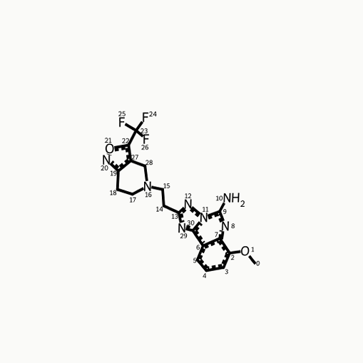 COc1cccc2c1nc(N)n1nc(CCN3CCc4noc(C(F)(F)F)c4C3)nc21